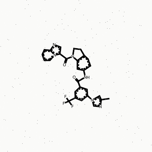 Cc1cn(-c2cc(C(=O)Nc3ccc4c(c3)N(C(=O)c3cnc5ccccn35)CC4)cc(C(F)(F)F)c2)cn1